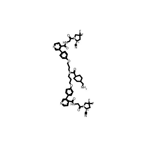 N#C[C@@H]1CC(F)(F)CN1C(=O)CNC(=O)c1ccncc1-c1ccc(OCCCN(CCCOc2ccc(-c3cnccc3C(=O)NCC(=O)N3CC(F)(F)C[C@H]3C#N)cc2)C(=O)C2CCC(CN)CC2)cc1